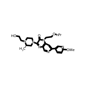 CCCOCCn1c(=O)c(N2CCN(CCO)[C@@H](C)C2)nc2cnc(-c3ccc(OC)nc3)cc21